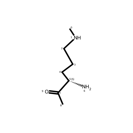 CNCCC[C@H](N)C(C)=O